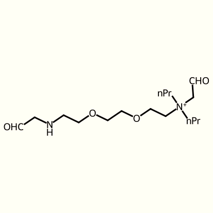 CCC[N+](CC=O)(CCC)CCOCCOCCNCC=O